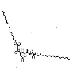 CCCCCCCCCCCCCCCCOC(=O)CNC(=O)C(CS)NC(=O)CCC(N)C(=O)OCCCCCCCCCCCCCCCC